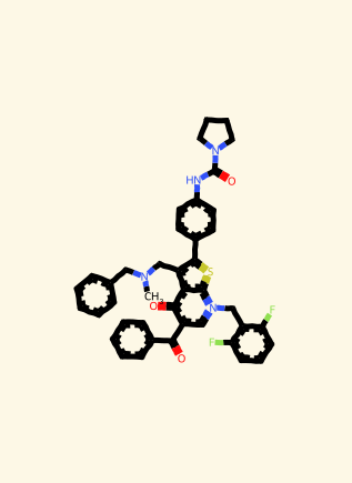 CN(Cc1ccccc1)Cc1c(-c2ccc(NC(=O)N3CCCC3)cc2)sc2c1c(=O)c(C(=O)c1ccccc1)cn2Cc1c(F)cccc1F